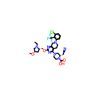 CCN1C[C@H](OC)C[C@H]1COc1nc2c(c(N3CCN(C(=O)O)[C@@H](CC#N)C3)n1)CCN(c1cccc(Cl)c1C(F)(F)F)C2